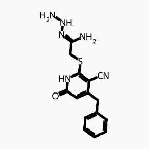 N#Cc1c(Cc2ccccc2)cc(=O)[nH]c1SC/C(N)=N/NN